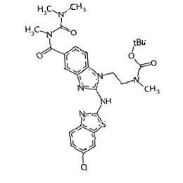 CN(C)C(=O)N(C)C(=O)c1ccc2c(c1)nc(Nc1nc3ccc(Cl)cc3s1)n2CCN(C)C(=O)OC(C)(C)C